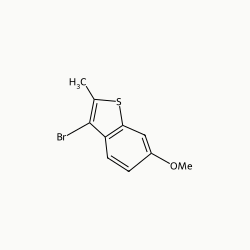 COc1ccc2c(Br)c(C)sc2c1